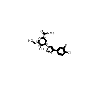 CNC(=O)[C@H]1C[C@@H](n2cc(-c3ccc(Cl)c(F)c3)nn2)[C@@H](O)[C@@H](CO)O1